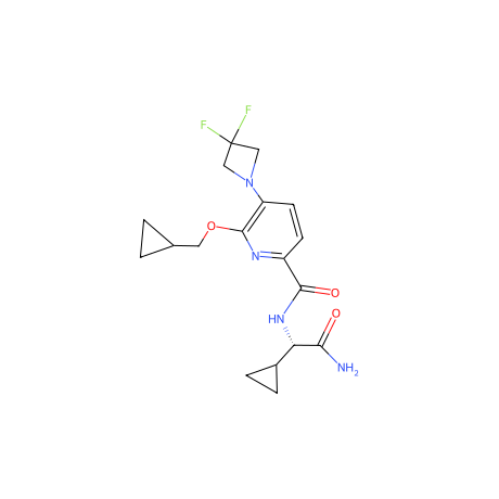 NC(=O)[C@@H](NC(=O)c1ccc(N2CC(F)(F)C2)c(OCC2CC2)n1)C1CC1